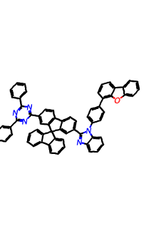 c1ccc(-c2nc(-c3ccccc3)nc(-c3ccc4c(c3)C3(c5ccccc5-c5ccccc53)c3cc(-c5nc6ccccc6n5-c5ccc(-c6cccc7c6oc6ccccc67)cc5)ccc3-4)n2)cc1